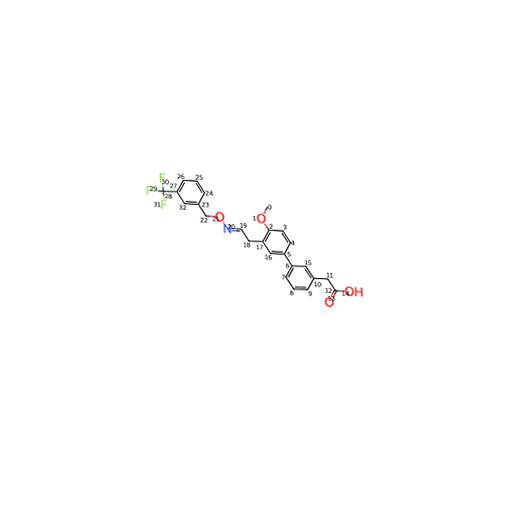 COc1ccc(-c2cccc(CC(=O)O)c2)cc1CC=NOCc1cccc(C(F)(F)F)c1